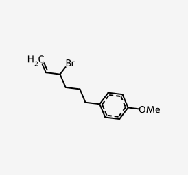 C=CC(Br)CCCc1ccc(OC)cc1